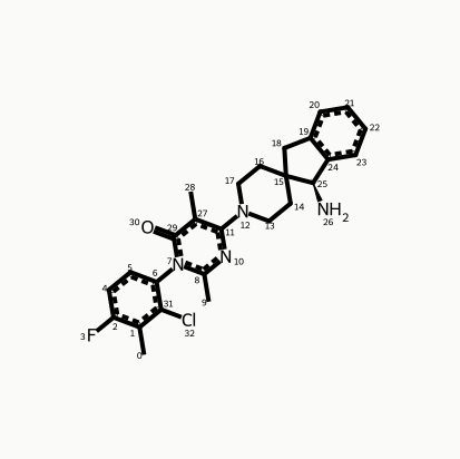 Cc1c(F)ccc(-n2c(C)nc(N3CCC4(CC3)Cc3ccccc3[C@H]4N)c(C)c2=O)c1Cl